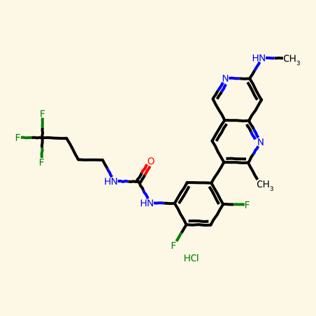 CNc1cc2nc(C)c(-c3cc(NC(=O)NCCCC(F)(F)F)c(F)cc3F)cc2cn1.Cl